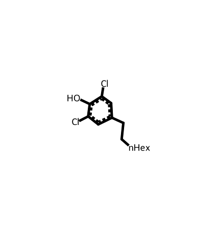 CCCCCCCCc1cc(Cl)c(O)c(Cl)c1